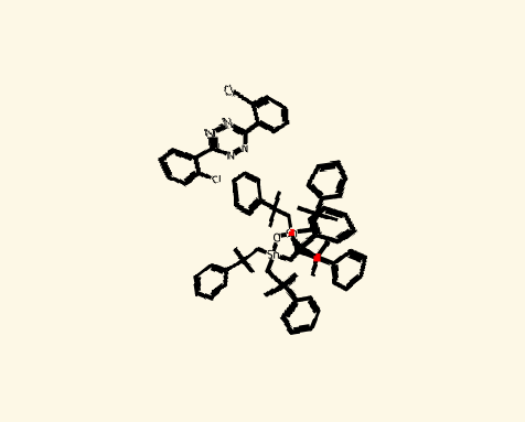 CC(C)([CH2][Sn]([CH2]C(C)(C)c1ccccc1)([CH2]C(C)(C)c1ccccc1)[O][Sn]([CH2]C(C)(C)c1ccccc1)([CH2]C(C)(C)c1ccccc1)[CH2]C(C)(C)c1ccccc1)c1ccccc1.Clc1ccccc1-c1nnc(-c2ccccc2Cl)nn1